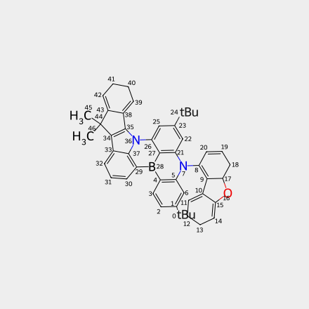 CC(C)(C)c1ccc2c(c1)N(C1=C3C4=CCCC=C4OC3CC=C1)c1cc(C(C)(C)C)cc3c1B2c1cccc2c4c(n-3c12)C1=CCCC=C1C4(C)C